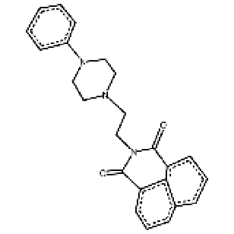 O=C1c2cccc3cccc(c23)C(=O)N1CCN1CCN(c2ccccc2)CC1